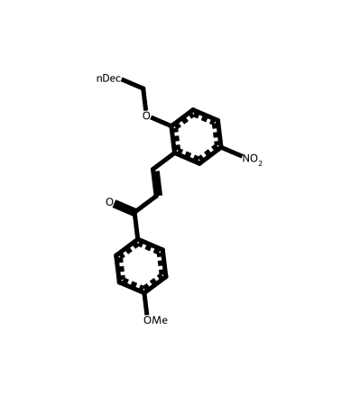 CCCCCCCCCCCOc1ccc([N+](=O)[O-])cc1C=CC(=O)c1ccc(OC)cc1